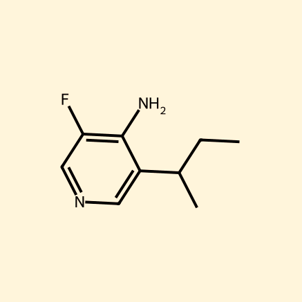 CCC(C)c1cncc(F)c1N